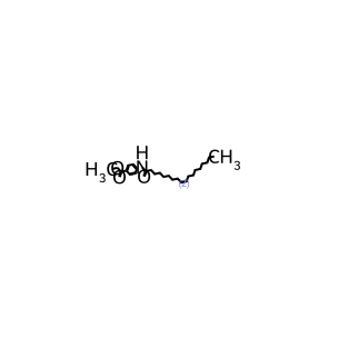 CCCCCCCC/C=C\CCCCCCCC(=O)Nc1ccc(C(=O)OC)cc1